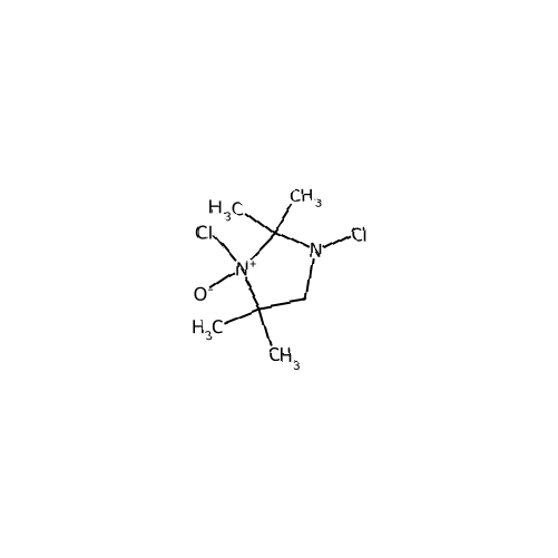 CC1(C)CN(Cl)C(C)(C)[N+]1([O-])Cl